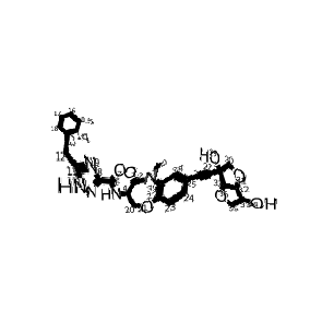 CN1C(=O)C(NC(=O)c2n[nH]c(Cc3ccccc3)n2)COc2ccc(C#CC3(O)COC4C(O)COC43)cc21